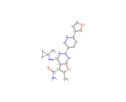 Cc1oc2nc(-c3ccc(-c4ccoc4)nc3)nc(NC3(C)CC3)c2c1C(N)=O